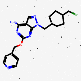 Nc1nc(OCc2ccncc2)nc2c1cnn2CC1CCC(CBr)CC1